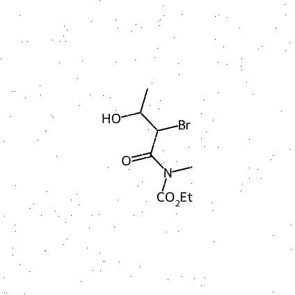 CCOC(=O)N(C)C(=O)C(Br)C(C)O